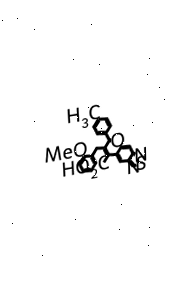 COc1ccccc1C/C(C(=O)c1ccc(C)cc1)=C(\C(=O)O)c1ccc2nsnc2c1